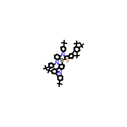 CC(C)(C)c1ccc(N2c3cccc4c3B(c3ccc5c(c3N4c3ccc(C(C)(C)C)cc3)c3cc(C(C)(C)C)cc4c6cc(C(C)(C)C)ccc6n5c43)c3sc4cc5c(cc4c32)-c2cc3c(cc2C5(C)C)C(C)(C)CC3(C)C)cc1